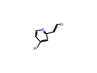 CC/C=C/c1cc(C(C)C)ccn1